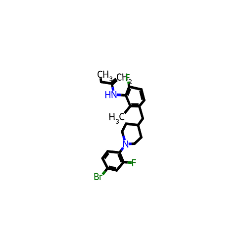 C=C(CC)Nc1c(F)ccc(CC2CCN(c3ccc(Br)cc3F)CC2)c1C